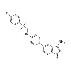 CC(C)(CNc1ncc(-c2ccc3[nH]nc(N)c3c2)cn1)c1ccc(F)cc1